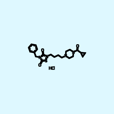 Cl.O=C(C1CC1)N1CCN(CCCCn2sc(=O)n(Cc3ccccc3)c2=O)CC1